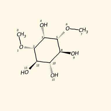 CO[C@@H]1[C@H](O)[C@H](OC)[C@@H](O)[C@H](O)[C@H]1O